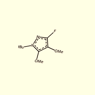 COc1c(F)nn(C(C)(C)C)c1OC